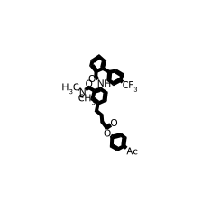 CC(=O)c1ccc(OC(=O)CCCc2ccc(NC(=O)c3ccccc3-c3ccc(C(F)(F)F)cc3)c(C(=O)N(C)C)c2)cc1